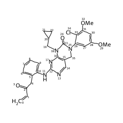 C=CC(=O)Cc1ccccc1Nc1ncc2c(n1)N(CC1CC1)C(=O)N(c1cc(OC)cc(OC)c1Cl)C2